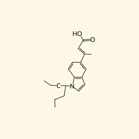 CCCC(CCC)n1ccc2cc(C(C)=CC(=O)O)ccc21